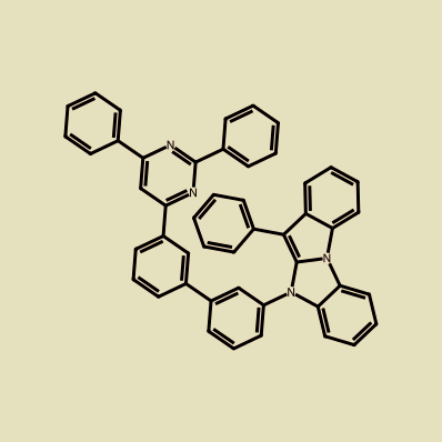 c1ccc(-c2cc(-c3cccc(-c4cccc(-n5c6ccccc6n6c7ccccc7c(-c7ccccc7)c56)c4)c3)nc(-c3ccccc3)n2)cc1